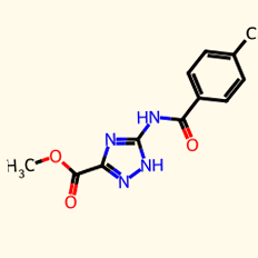 COC(=O)c1n[nH]c(NC(=O)c2ccc(C)cc2)n1